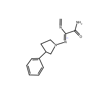 C=N/C(=N\N1CCC(c2ccccc2)C1)C(N)=O